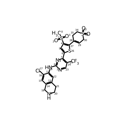 CS(=O)(=O)c1cc(-c2nc(Nc3cc4c(cc3Cl)CNCC4)ncc2C(F)(F)F)sc1C1=CCS(=O)(=O)CC1